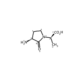 C[C@H](C(=O)O)N1CC[C@H](N)C1=O